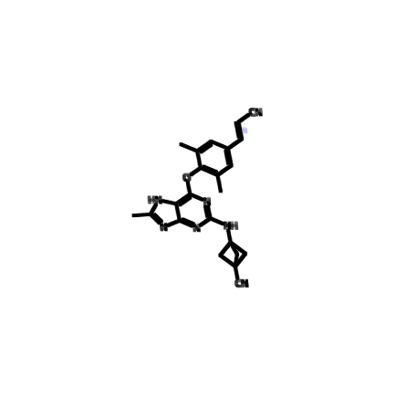 Cc1nc2nc(NC34CC(C#N)(C3)C4)nc(Oc3c(C)cc(/C=C/C#N)cc3C)c2[nH]1